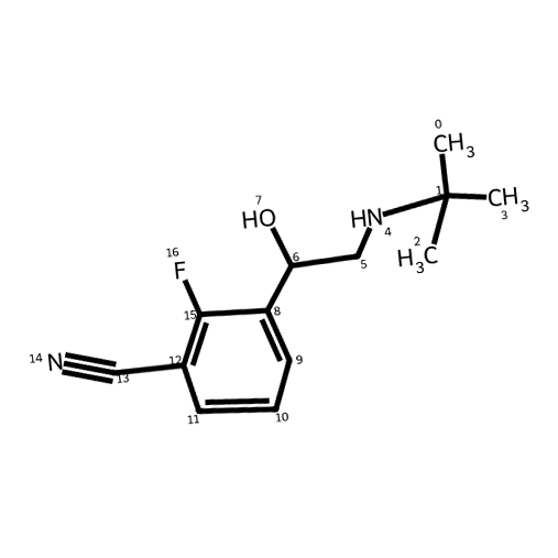 CC(C)(C)NCC(O)c1cccc(C#N)c1F